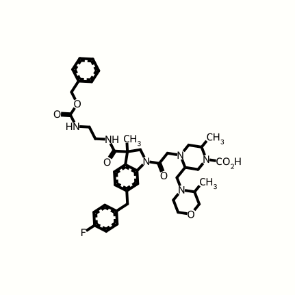 CC1COCCN1CC1CN(C(=O)O)C(C)CN1CC(=O)N1CC(C)(C(=O)NCCNC(=O)OCc2ccccc2)c2ccc(Cc3ccc(F)cc3)cc21